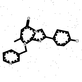 Cc1cc(=O)n2cc(-c3ccc(Cl)cc3)nc2n1Cc1cccnc1